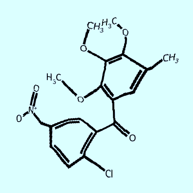 COc1c(C)cc(C(=O)c2cc([N+](=O)[O-])ccc2Cl)c(OC)c1OC